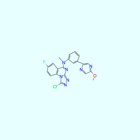 COc1cnc(-c2cccc(N(C)c3nc4nnc(Cl)n4c4ccc(F)cc34)c2)cn1